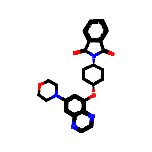 O=C1c2ccccc2C(=O)N1[C@H]1CC[C@@H](Oc2cc(N3CCOCC3)cc3nccnc23)CC1